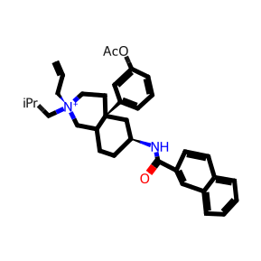 C=CC[N@@+]1(CC(C)C)CC[C@]2(c3cccc(OC(C)=O)c3)C[C@@H](NC(=O)c3ccc4ccccc4c3)CCC2C1